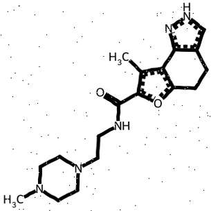 Cc1c(C(=O)NCCN2CCN(C)CC2)oc2c1-c1n[nH]cc1CC2